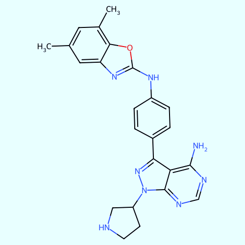 Cc1cc(C)c2oc(Nc3ccc(-c4nn(C5CCNC5)c5ncnc(N)c45)cc3)nc2c1